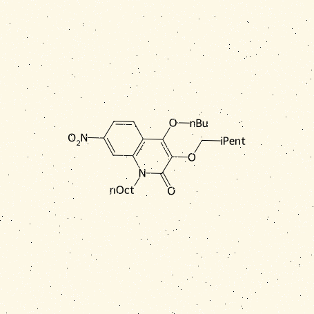 CCCCCCCCn1c(=O)c(OCC(C)CCC)c(OCCCC)c2ccc([N+](=O)[O-])cc21